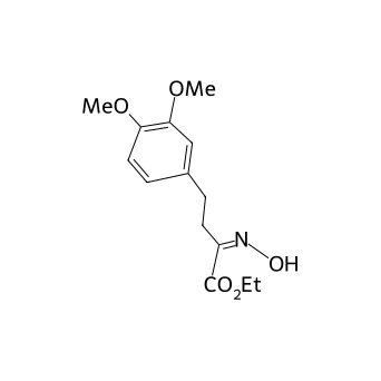 CCOC(=O)C(CCc1ccc(OC)c(OC)c1)=NO